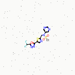 CCS(=O)(=O)N(Cc1ncc(-c2nnc(C(F)F)o2)s1)c1cncnc1